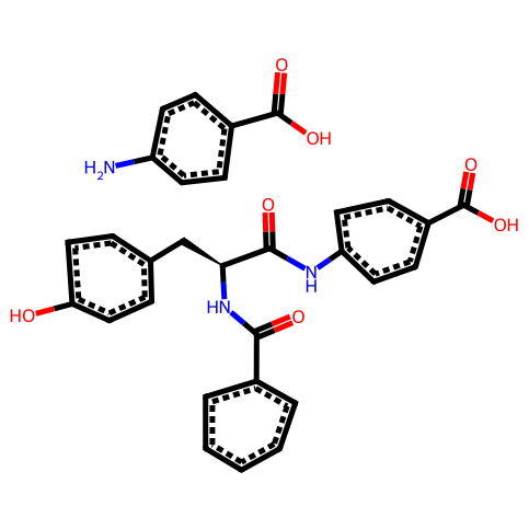 Nc1ccc(C(=O)O)cc1.O=C(O)c1ccc(NC(=O)[C@H](Cc2ccc(O)cc2)NC(=O)c2ccccc2)cc1